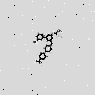 CC(C)Oc1cc(CN2CCN(c3ccc(C(=O)O)cc3)CC2)cc(-c2cccc(O)c2)c1